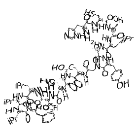 CC(C)C[C@H](NC(=O)[C@H](CO)NC(=O)[C@H](CS)NC(=O)[C@@H](N)Cc1cnc[nH]1)C(=O)N[C@@H](C)C(=O)N[C@@H](Cc1ccc(O)cc1)C(=O)NCC(=O)N[C@@H](CC(=O)O)C(=O)N[C@@H](C)C(=O)N[C@@H](CO)C(=O)N[C@H](C(=O)N[C@@H](CC(C)C)C(=O)N[C@H](C(=O)N[C@H](C(=O)N[C@@H](Cc1ccccc1)C(=O)O)C(C)C)C(C)C)[C@@H](C)O